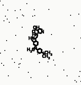 CC(C)c1ccc(N(C)c2ccc3c(c2)CNC3CNc2cnccc2C(=O)O)cc1